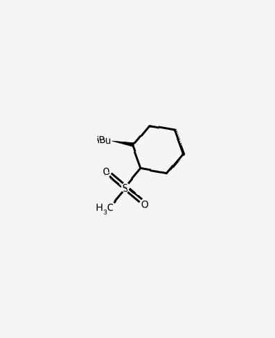 CC[C@H](C)C1CCCCC1S(C)(=O)=O